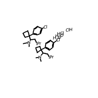 CC(C)CC(N(C)C)C1(c2ccc(Cl)cc2)CCC1.CC(C)CC(N(C)C)C1(c2ccc(Cl)cc2)CCC1.Cl.Cl.O.O